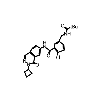 CC(C)(C)C(=O)NCc1ccc(Cl)c(C(=O)Nc2ccc3cnn(C4CCC4)c(=O)c3c2)c1